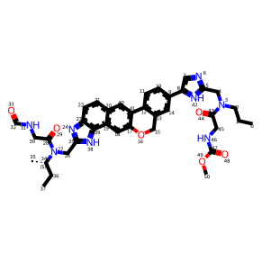 CCCN(Cc1ncc(-c2ccc3c(c2)COc2cc4c(ccc5nc(CN(C(=O)CNC=O)[C@@H](C)CC)[nH]c54)cc2-3)[nH]1)C(=O)CNC(=O)OC